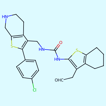 O=CCc1c(NC(=O)NCc2c(-c3ccc(Cl)cc3)sc3c2CCNC3)sc2c1CCCC2